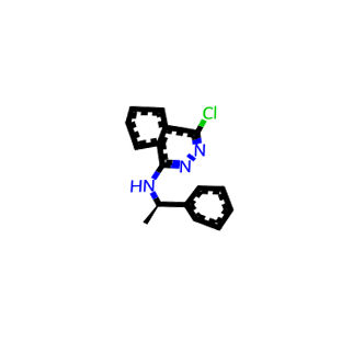 C[C@@H](Nc1nnc(Cl)c2ccccc12)c1ccccc1